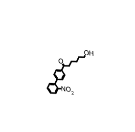 O=C(CCCCCO)c1ccc(-c2ccccc2[N+](=O)[O-])cc1